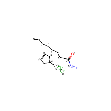 CCCCCCCC(N)=O.[Cl-].[Cl-].[V+2][C]1=CC=CC1